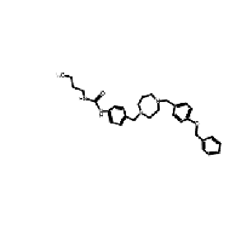 O=C(NCCCO)Nc1ccc(CN2CCCN(Cc3ccc(OCc4ccccc4)cc3)CC2)cc1